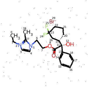 CC[n+]1ccn(CCOC(=O)[C@](O)(c2ccccc2)[C@H]2CCCC(F)(F)C2)c1C.[Br-]